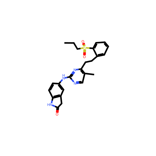 CCCS(=O)(=O)c1ccccc1CCc1nc(Nc2ccc3c(c2)CC(=O)N3)ncc1C